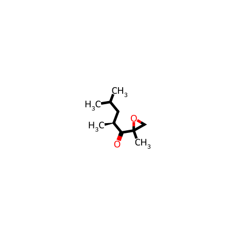 CC(C)C[C@H](C)C(=O)C1(C)CO1